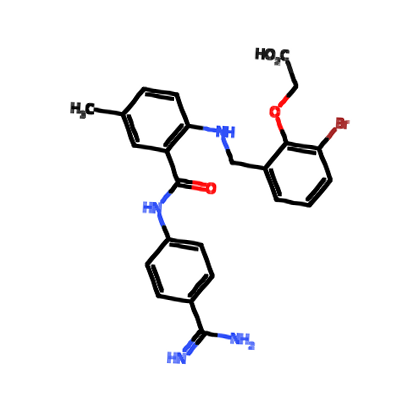 Cc1ccc(NCc2cccc(Br)c2OCC(=O)O)c(C(=O)Nc2ccc(C(=N)N)cc2)c1